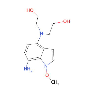 COn1ccc2c(N(CCO)CCO)ccc(N)c21